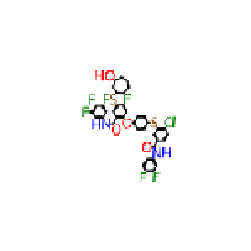 O=C(Nc1ccc(F)c(F)c1)c1ccc(Cl)c(SC2CCC(Oc3cc(F)c(SC4CCCC[C@@H](O)C4)cc3C(=O)Nc3cc(F)c(F)c(F)c3)CC2)c1